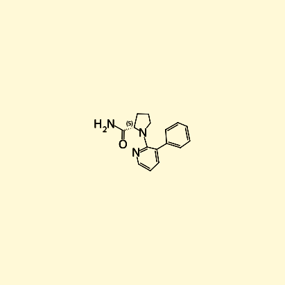 NC(=O)[C@@H]1CCCN1c1ncccc1-c1ccccc1